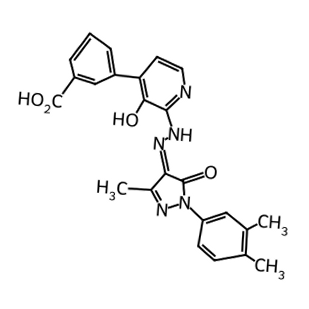 CC1=NN(c2ccc(C)c(C)c2)C(=O)C1=NNc1nccc(-c2cccc(C(=O)O)c2)c1O